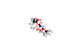 COP(=O)(OC)C(NC(=O)OC(C)(C)C)C(=O)O[C@@H]1C(=O)OCC1(C)C